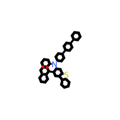 c1ccc(-c2ccc(-c3ccc(N(c4ccccc4)c4cc5sc6ccccc6c5cc4-c4cccc5ccccc45)cc3)cc2)cc1